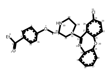 CCC(=O)c1ccc(OC[C@H]2CN(C3=Nc4ccccc4Oc4ccc(Cl)cc43)CCN2)cc1